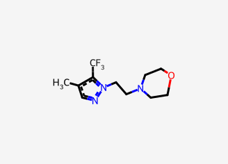 Cc1cnn(CCN2CCOCC2)c1C(F)(F)F